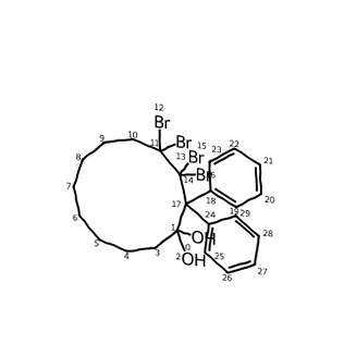 OC1(O)CCCCCCCCC(Br)(Br)C(Br)(Br)C1(c1ccccc1)c1ccccc1